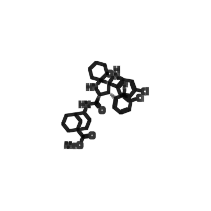 COC(=O)C12CCCC(C1)C(NC(=O)[C@H]1NC3(CCCCC3)[C@]3(C(=O)Nc4cc(Cl)ccc43)[C@@H]1c1cccc(Cl)c1F)CC2